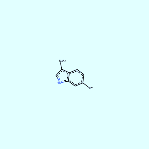 CNc1c[nH]c2cc(C(C)C)ccc12